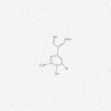 CN/C=C(\C=N)c1cc(Br)c(O)c([N+](=O)[O-])c1